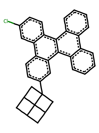 Clc1ccc2c(c1)c1ccc(C34CC5CC6CC(C3)C654)cc1c1c3ccccc3c3ccccc3c21